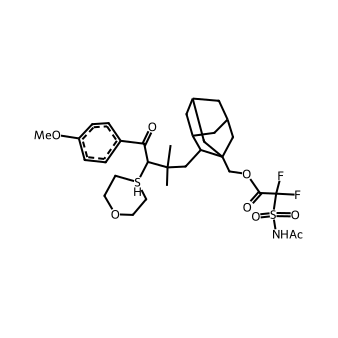 COc1ccc(C(=O)C([SH]2CCOCC2)C(C)(C)CC2C3CC4CC(C3)CC2(COC(=O)C(F)(F)S(=O)(=O)NC(C)=O)C4)cc1